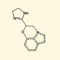 c1cc2c3c(c1)ccn3CC(C1=NCCN1)O2